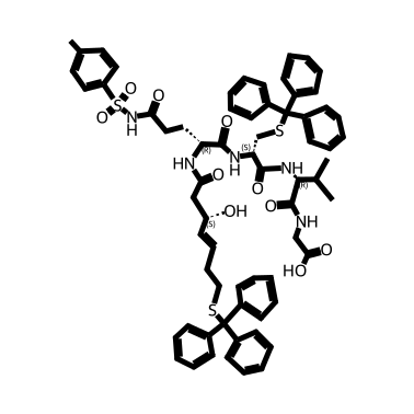 Cc1ccc(S(=O)(=O)NC(=O)CC[C@@H](NC(=O)C[C@H](O)C=CCCSC(c2ccccc2)(c2ccccc2)c2ccccc2)C(=O)N[C@H](CSC(c2ccccc2)(c2ccccc2)c2ccccc2)C(=O)N[C@@H](C(=O)NCC(=O)O)C(C)C)cc1